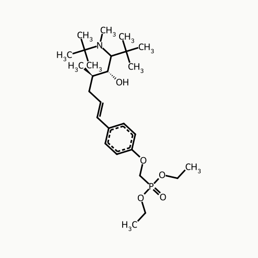 CCOP(=O)(COc1ccc(/C=C/C[C@@H](C)[C@@H](O)C(N(C)C(C)(C)C)C(C)(C)C)cc1)OCC